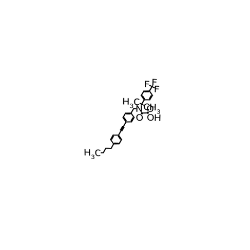 CCCCc1ccc(C#Cc2ccc(CN(C(=O)C(=O)O)C(C)(C)c3ccc(C(F)(F)F)cc3)cc2)cc1